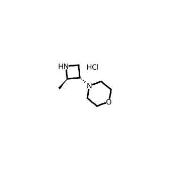 C[C@H]1NC[C@@H]1N1CCOCC1.Cl